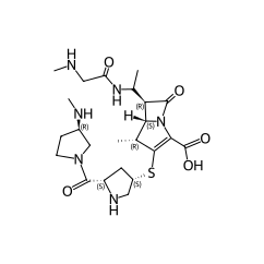 CNCC(=O)NC(C)[C@H]1C(=O)N2C(C(=O)O)=C(S[C@@H]3CN[C@H](C(=O)N4CC[C@@H](NC)C4)C3)[C@H](C)[C@H]12